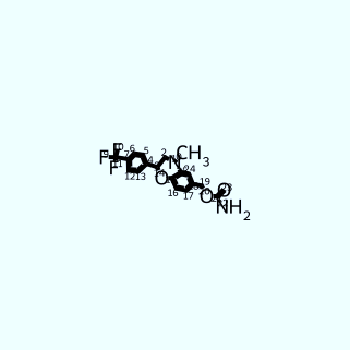 CN1CC(c2ccc(C(F)(F)F)cc2)Oc2ccc(COC(N)=O)cc21